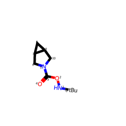 CC(C)(C)NOC(=O)N1CC2CC2C1